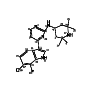 CC1(C)CC(Nc2nccc(-c3c[nH]c4c(F)c(Cl)ccc34)n2)CC(C)(C)N1